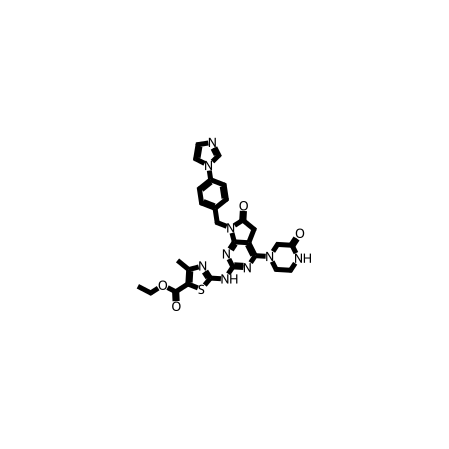 CCOC(=O)c1sc(Nc2nc(N3CCNC(=O)C3)c3c(n2)N(Cc2ccc(-n4ccnc4)cc2)C(=O)C3)nc1C